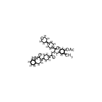 CC(=O)Oc1ccc(C[C@@H](CC(=O)N2CCC(N3CCc4ccccc4NC3=O)CC2)C(=O)N2CCN(C3CCOCC3)CC2)cc1C